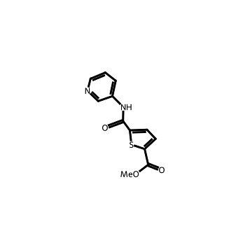 COC(=O)c1ccc(C(=O)Nc2cccnc2)s1